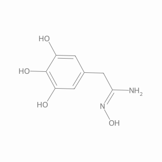 NC(Cc1cc(O)c(O)c(O)c1)=NO